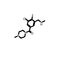 CNCc1cc(C(=O)N2CCN(C)CC2)cc(Cl)c1F